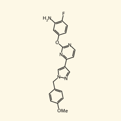 COc1ccc(Cn2cc(-c3ccnc(Oc4ccc(F)c(N)c4)n3)cn2)cc1